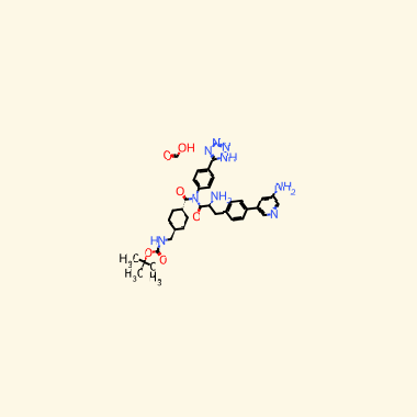 CC(C)(C)OC(=O)NC[C@H]1CC[C@H](C(=O)N(C(=O)[C@@H](N)Cc2ccc(-c3cncc(N)c3)cc2)c2ccc(-c3nnn[nH]3)cc2)CC1.O=CO